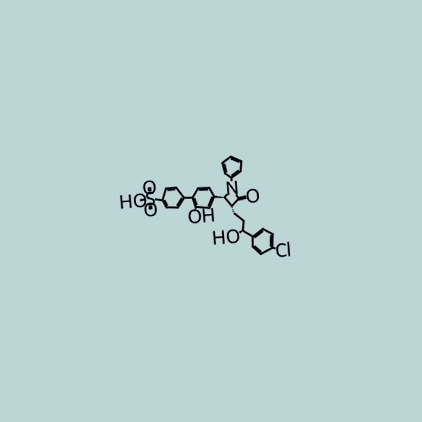 O=C1[C@H](CC[C@H](O)c2ccc(Cl)cc2)[C@@H](c2ccc(-c3ccc(S(=O)(=O)O)cc3)c(O)c2)N1c1ccccc1